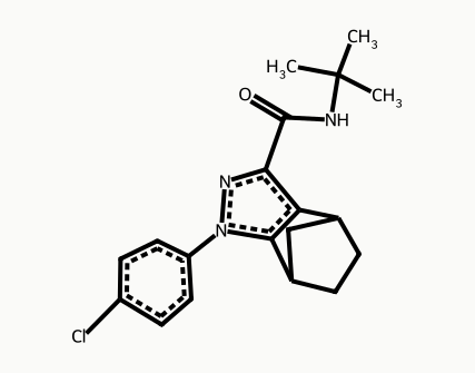 CC(C)(C)NC(=O)c1nn(-c2ccc(Cl)cc2)c2c1C1CCC2C1